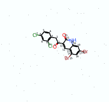 O=C(Cc1ccc(Cl)cc1Cl)c1cc2c(Br)cc(Br)cc2[nH]c1=O